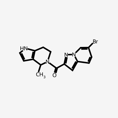 CC1c2cc[nH]c2CCN1C(=O)c1cc2ccc(Br)cn2n1